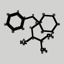 CC(C)C(C)C[N+]1(Cc2ccccc2)CCCCC1